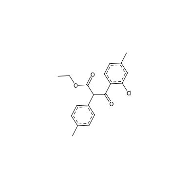 CCOC(=O)C(C(=O)c1ccc(C)cc1Cl)c1ccc(C)cc1